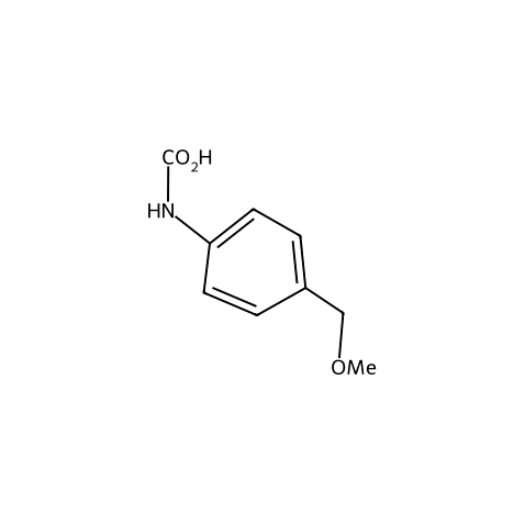 COCc1ccc(NC(=O)O)cc1